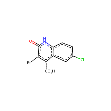 CCc1c(C(=O)O)c2cc(Cl)ccc2[nH]c1=O